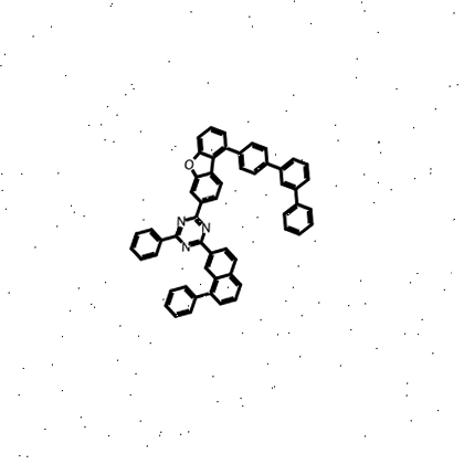 c1ccc(-c2cccc(-c3ccc(-c4cccc5oc6cc(-c7nc(-c8ccccc8)nc(-c8ccc9cccc(-c%10ccccc%10)c9c8)n7)ccc6c45)cc3)c2)cc1